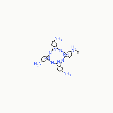 Nc1ccc2c(c1)-c1nc-2nc2[nH]c(nc3nc(nc4[nH]c(n1)c1ccc(N)cc41)-c1cc(N)ccc1-3)c1ccc(N)cc21.[Fe]